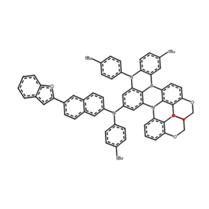 CC(C)(C)c1ccc(N(c2cc3c4c(c2)N(c2cccc5c2OCCO5)c2c(ccc5c2OCCO5)B4c2cc(C(C)(C)C)ccc2N3c2ccc(C(C)(C)C)cc2)c2ccc3cc(-c4cc5ccccc5o4)ccc3c2)cc1